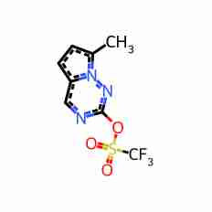 Cc1ccc2cnc(OS(=O)(=O)C(F)(F)F)nn12